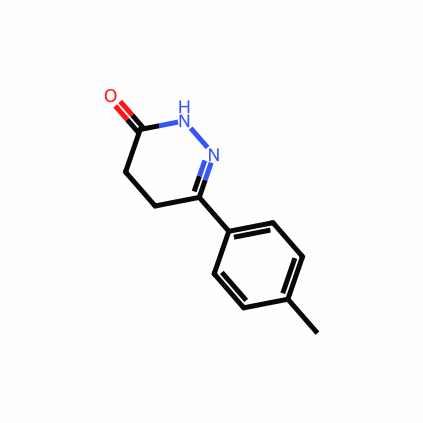 Cc1ccc(C2=NNC(=O)CC2)cc1